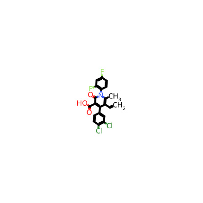 C=Cc1c(-c2ccc(Cl)c(Cl)c2)c(C(=O)O)c(=O)n(-c2ccc(F)cc2F)c1C